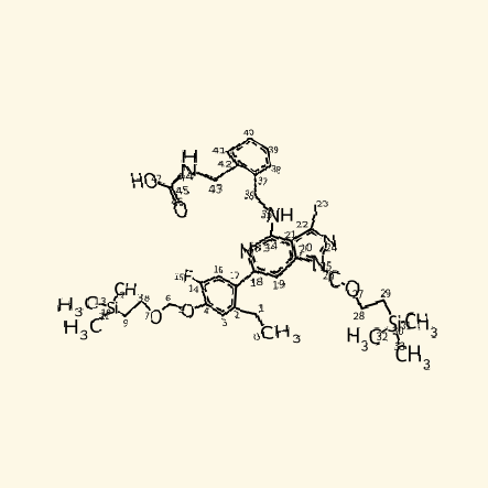 CCc1cc(OCOCC[Si](C)(C)C)c(F)cc1-c1cc2c(c(I)nn2COCC[Si](C)(C)C)c(NCc2ccccc2CNC(=O)O)n1